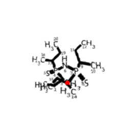 CCC(C)P(=S)(NP(=S)(C(C)CC)C(C)CC)C(C)CC